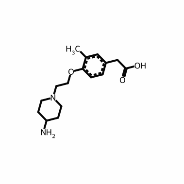 Cc1cc(CC(=O)O)ccc1OCCN1CCC(N)CC1